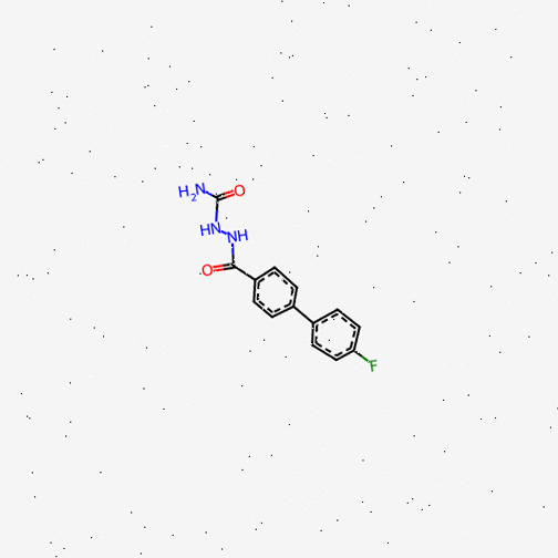 NC(=O)NNC(=O)c1ccc(-c2ccc(F)cc2)cc1